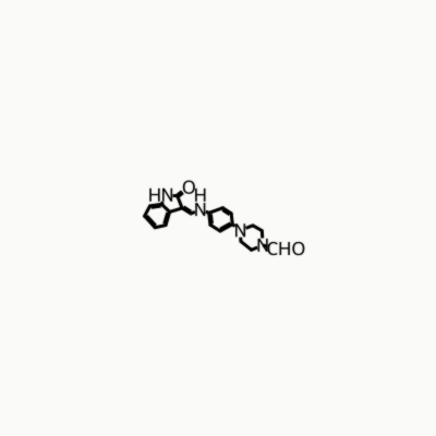 O=CN1CCN(c2ccc(NC=C3C(=O)Nc4ccccc43)cc2)CC1